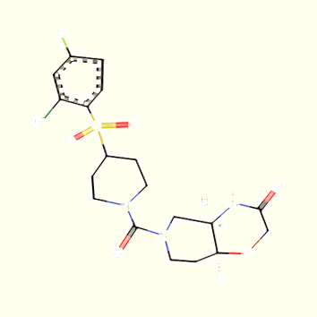 O=C1CO[C@H]2CCN(C(=O)N3CCC(S(=O)(=O)c4ccc(F)cc4Cl)CC3)C[C@H]2N1